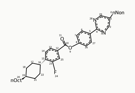 CCCCCCCCCc1cnc(-c2ccc(OC(=O)c3ccc([C@H]4CC[C@H](CCCCCCCC)CC4)c(F)c3)cc2)nc1